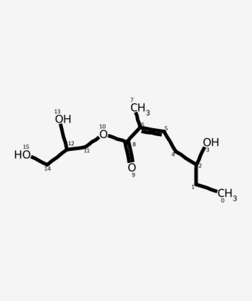 CCC(O)CC=C(C)C(=O)OCC(O)CO